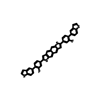 Fc1cc(-c2cc3cc4cc5sc(-c6ccc(-c7ccc8sccc8c7)c(F)c6)cc5cc4cc3s2)ccc1-c1ccc2sccc2c1